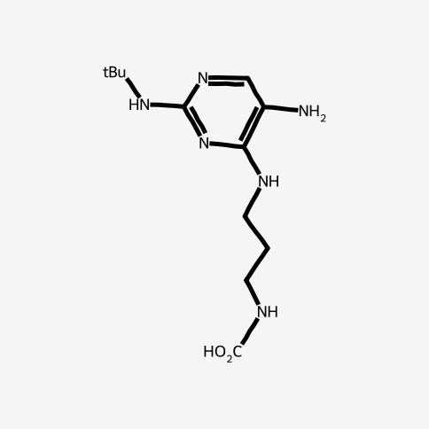 CC(C)(C)Nc1ncc(N)c(NCCCNC(=O)O)n1